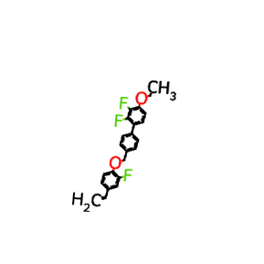 C=Cc1ccc(OCc2ccc(-c3ccc(OCC)c(F)c3F)cc2)c(F)c1